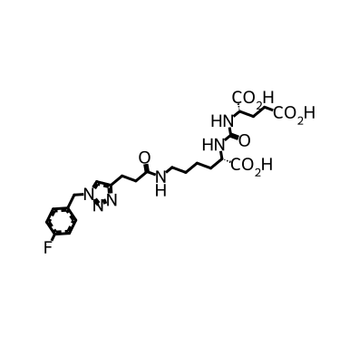 O=C(O)CC[C@H](NC(=O)N[C@@H](CCCCNC(=O)CCc1cn(Cc2ccc(F)cc2)nn1)C(=O)O)C(=O)O